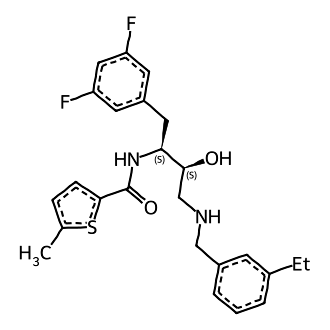 CCc1cccc(CNC[C@H](O)[C@H](Cc2cc(F)cc(F)c2)NC(=O)c2ccc(C)s2)c1